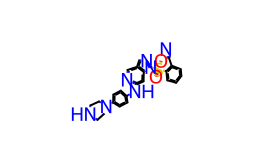 N#Cc1ccccc1S(=O)(=O)n1ncc2cnc(Nc3ccc(N4CCNCC4)cc3)cc21